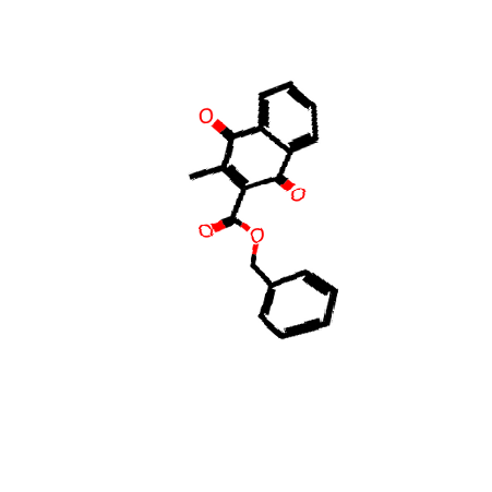 CC1=C(C(=O)OCc2ccccc2)C(=O)c2ccccc2C1=O